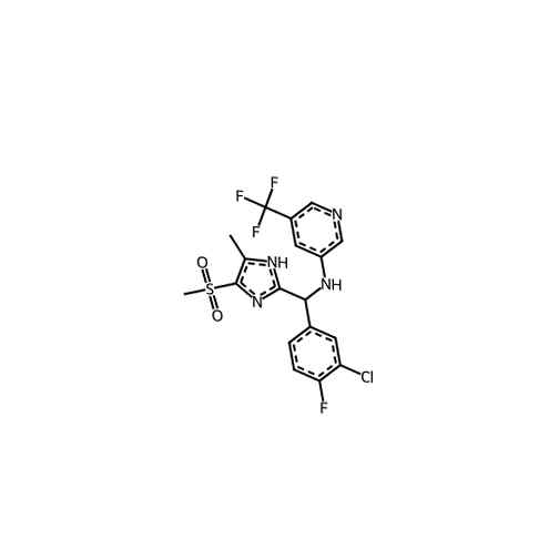 Cc1[nH]c(C(Nc2cncc(C(F)(F)F)c2)c2ccc(F)c(Cl)c2)nc1S(C)(=O)=O